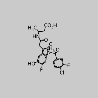 Cc1c(CC(=O)NC(C)CC(=O)O)c2cc(O)c(F)cc2n1C(=O)c1ccc(Cl)c(F)c1